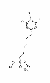 CCO[Si](CCCCCCc1cc(F)c(F)c(F)c1)(OCC)OCC